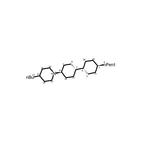 CCCCC[C@H]1CC[C@H]([C@H]2CC[C@H](N3CCC(CCCC)CC3)CC2)CC1